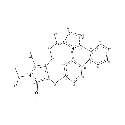 CCCCc1c(Cl)n(C(C)C)c(=O)n1Cc1ccc(-c2ccccc2-c2nnn[nH]2)cc1